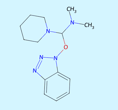 CN(C)C(On1nnc2ccccc21)N1CCCCC1